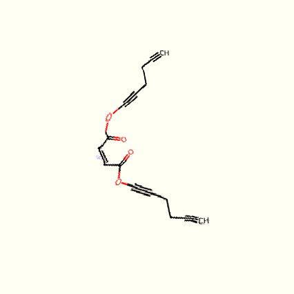 C#CCCC#COC(=O)/C=C\C(=O)OC#CCCC#C